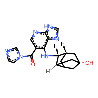 O=C(c1cnc2[nH]cnc2c1N[C@@H]1[C@H]2CC3C[C@](O)(C2)C[C@@H]31)n1ccnc1